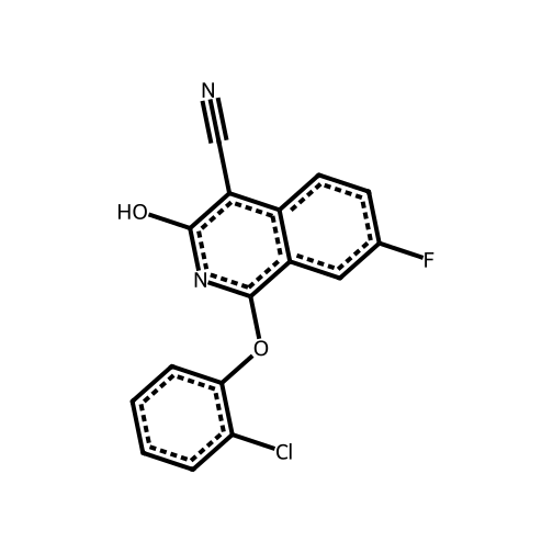 N#Cc1c(O)nc(Oc2ccccc2Cl)c2cc(F)ccc12